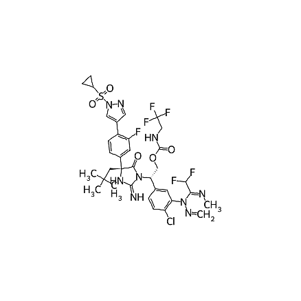 C=NN(/C(=N\C)C(F)F)c1cc([C@@H](COC(=O)NCC(F)(F)F)N2C(=N)N[C@](CC(C)(C)C)(c3ccc(-c4cnn(S(=O)(=O)C5CC5)c4)c(F)c3)C2=O)ccc1Cl